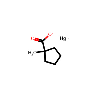 CC1(C(=O)[O-])CCCC1.[Hg+]